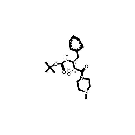 CN1CCN(C(=O)[C@H](O)[C@H](Cc2ccccc2)NC(=O)OC(C)(C)C)CC1